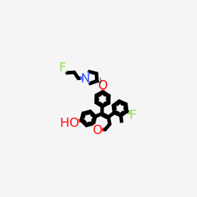 Cc1c(F)cccc1C1=C(c2ccc(O[C@H]3CCN(CCCF)C3)cc2)c2ccc(O)cc2OCC1